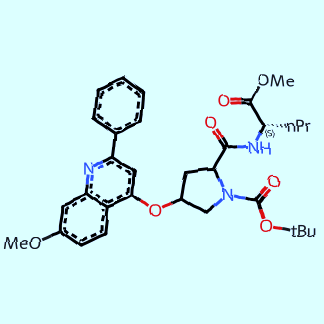 CCC[C@H](NC(=O)C1CC(Oc2cc(-c3ccccc3)nc3cc(OC)ccc23)CN1C(=O)OC(C)(C)C)C(=O)OC